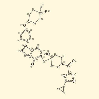 O=C(c1cnc(C2CC2)o1)N1CCC(O)(Cn2cnc3c(cnn3-c3ccc(OC4CCC(F)(F)CC4)cc3)c2=O)CC1